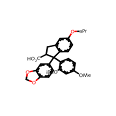 CCCOc1ccc2c(c1)CC(C(=O)O)C2(c1ccc2c(c1)OCO2)c1ccc(OC)cc1OCC(C)C